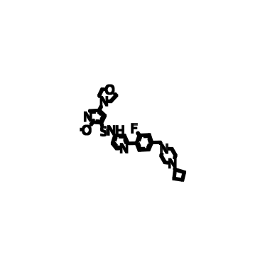 COc1ncc(N2CCOCC2)cc1SNc1ccnc(-c2ccc(CN3CCN(C4CCC4)CC3)cc2F)c1